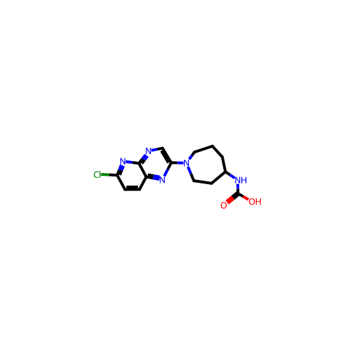 O=C(O)NC1CCCN(c2cnc3nc(Cl)ccc3n2)CC1